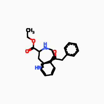 CCOC(=O)C1CC23C(=CCN1)C=CC=C2NCC3C(=O)Cc1ccccc1